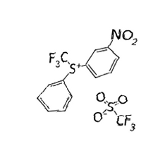 O=S(=O)([O-])C(F)(F)F.O=[N+]([O-])c1cccc([S+](c2ccccc2)C(F)(F)F)c1